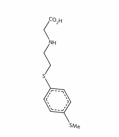 CSc1ccc(SCCNCC(=O)O)cc1